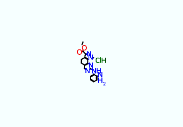 CCOC(=O)c1nn(C)c2c1CCc1cnc(Nc3ccccc3N)nc1-2.Cl